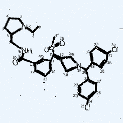 CCN1CCCC1CNC(=O)c1cccc(C(=C2CN(C(c3ccc(Cl)cc3)c3ccc(Cl)cc3)C2)S(C)(=O)=O)c1